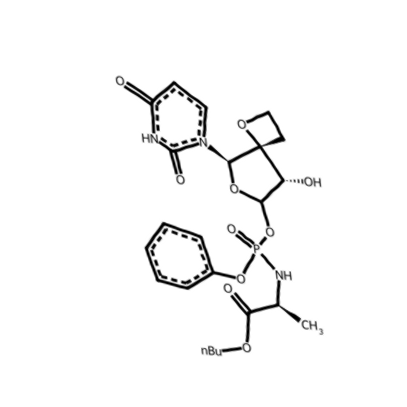 CCCCOC(=O)[C@H](C)NP(=O)(Oc1ccccc1)OC1O[C@@H](n2ccc(=O)[nH]c2=O)[C@@]2(CCO2)[C@@H]1O